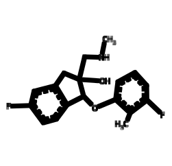 CNCC1(O)Cc2cc(F)ccc2C1Oc1cccc(F)c1C